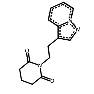 O=C1CCCC(=O)N1CCc1cnn2ccccc12